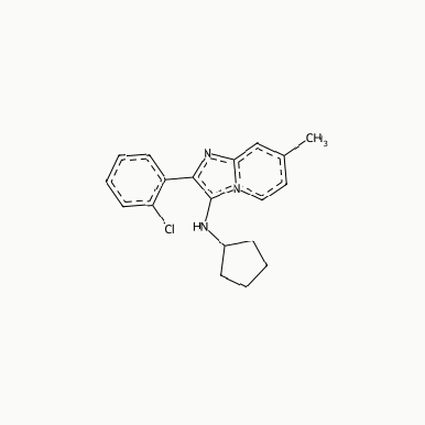 Cc1ccn2c(NC3CCCC3)c(-c3ccccc3Cl)nc2c1